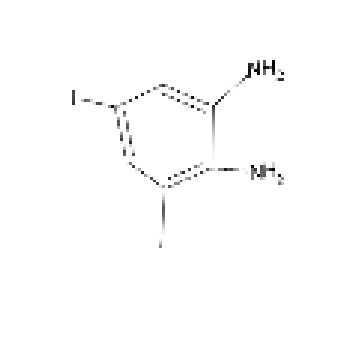 Cc1cc(I)cc(N)c1N